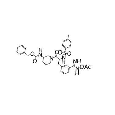 CC(=O)ONC(=N)c1cccc(C[C@H](NS(=O)(=O)c2ccc(C)cc2)C(=O)N2CCC[C@H](NC(=O)OCc3ccccc3)C2)c1